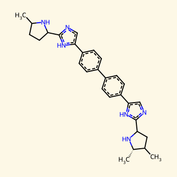 CC1CCC(c2ncc(-c3ccc(-c4ccc(-c5cnc(C6CC(C)[C@H](C)N6)[nH]5)cc4)cc3)[nH]2)N1